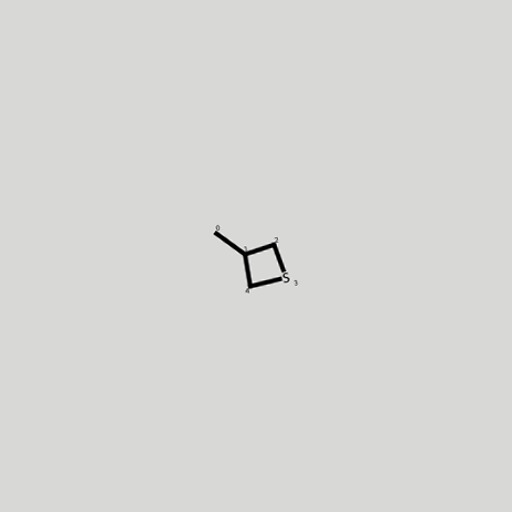 CC1CSC1